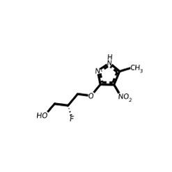 Cc1[nH]nc(OC[C@H](F)CO)c1[N+](=O)[O-]